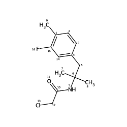 Cc1ccc(CC(C)(C)NC(=O)CCl)cc1F